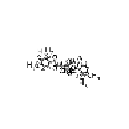 Cc1ccc(C(=O)C(=O)OC(C)C(C)C(OC(=O)C(=O)c2ccc(C)c(C)c2C)C(F)(F)F)c(C)c1C